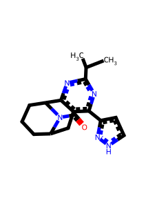 CC(C)c1nc(-c2cc[nH]n2)c2c(n1)C1CCCC(C2)N1C=O